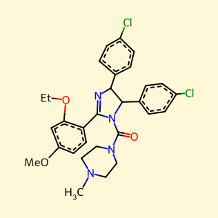 CCOc1cc(OC)ccc1C1=NC(c2ccc(Cl)cc2)C(c2ccc(Cl)cc2)N1C(=O)N1CCN(C)CC1